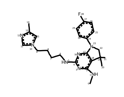 CNc1nc(NCCCCn2cnc(C)c2)nc2c1C(C)(C)CN2c1ccc(F)cc1